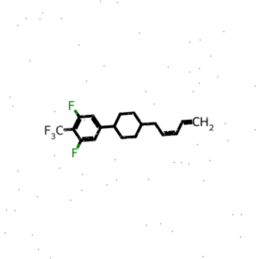 C=C/C=C\CC1CCC(c2cc(F)c(C(F)(F)F)c(F)c2)CC1